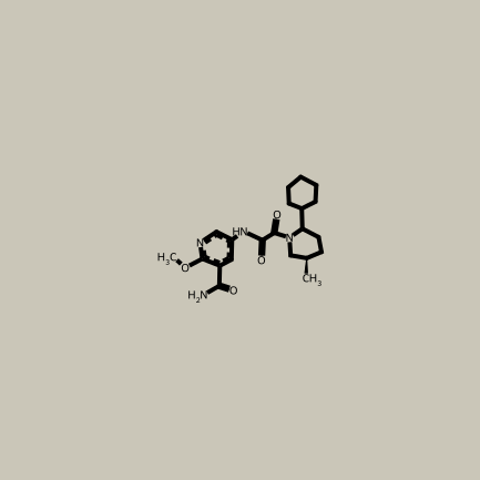 COc1ncc(NC(=O)C(=O)N2C[C@H](C)CCC2C2CCCCC2)cc1C(N)=O